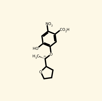 C[C@H](Oc1cc(C(=O)O)c([N+](=O)[O-])cc1O)C1CCCO1